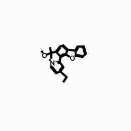 CCc1cc[n+](C)c(-c2c(C(C)(C)OC)ccc3c2oc2ccccc23)c1